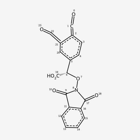 O=C=c1ccc([C@H](ON2C(=O)c3ccccc3C2=O)C(=O)O)cc1=C=O